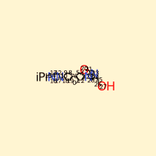 Cc1cc2c(cc1-c1ccc(N3CCN(C(C)C)CC3)cc1)OCc1nc(CCO)cn1-2